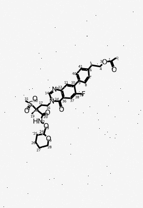 CC(=O)OCCc1ccc(-c2cc3ncn(CC[C@](C)(C(=O)NOC4CCCCO4)S(C)(=O)=O)c(=O)c3cc2F)cc1